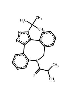 CC(C)C(=O)N1Cc2ccccc2-c2c(nnn2C(C)(C)C)-c2ccccc21